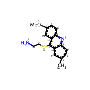 COc1ccc2nc3ccc(C)cc3c(SCCN)c2c1